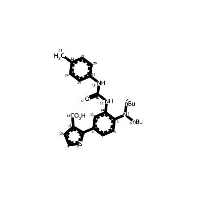 CCCCN(CCCC)c1ccc(-c2sccc2C(=O)O)cc1NC(=O)Nc1ccc(C)cc1